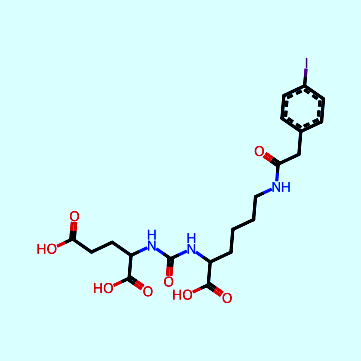 O=C(O)CCC(NC(=O)NC(CCCCNC(=O)Cc1ccc(I)cc1)C(=O)O)C(=O)O